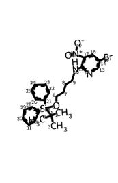 CC(C)(C)[Si](OCCCCNc1ncc(Br)cc1[N+](=O)[O-])(c1ccccc1)c1ccccc1